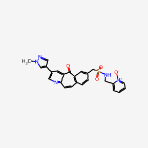 Cn1cc(-c2cnc3ccc4ccc(CS(=O)(=O)NCc5cccc[n+]5[O-])cc4c(=O)c3c2)cn1